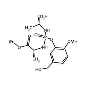 COc1ccc(CO)cc1OP(=O)(N[C@@H](C)C(=O)O)N[C@@H](C)C(=O)OC(C)C